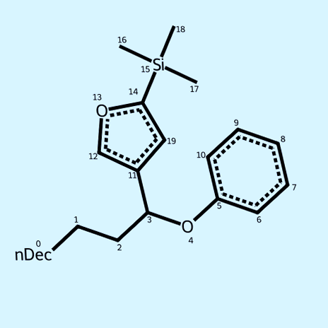 CCCCCCCCCCCCC(Oc1ccccc1)c1coc([Si](C)(C)C)c1